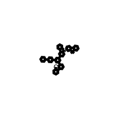 CC1(C)c2ccccc2-c2ccc(-n3c4ccccc4c4cc(-c5cc(-c6ccc(-c7ccccc7)cc6)cc(-c6cccc7c6oc6ccccc67)c5)ccc43)cc21